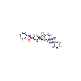 O=C(NC1CCCCCC1)c1ccc(-c2nc3cc(C(=O)NC4CCCCC4)ccc3[nH]2)cc1